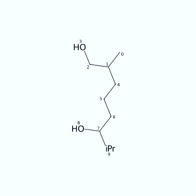 CC(CO)CCCC(O)C(C)C